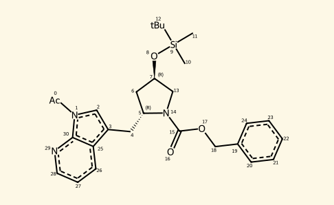 CC(=O)n1cc(C[C@@H]2C[C@@H](O[Si](C)(C)C(C)(C)C)CN2C(=O)OCc2ccccc2)c2cccnc21